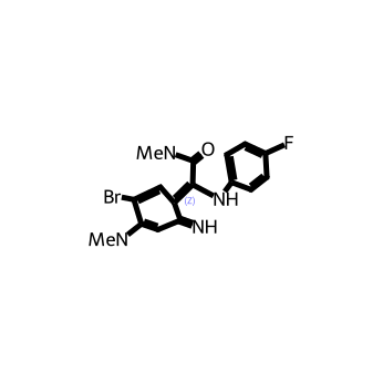 CNC(=O)/C(Nc1ccc(F)cc1)=C1\C=C(Br)C(NC)=CC1=N